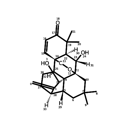 C=C1C(O)[C@@]23[C@@H]4CC(C)(C)C[C@]25OC[C@]2(C=CC(=O)C(C)(C)[C@H]2[C@@H]5O)[C@@H]3CC[C@@H]14